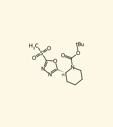 CC(C)(C)OC(=O)N1CCCC[C@@H]1c1nnc(S(C)(=O)=O)o1